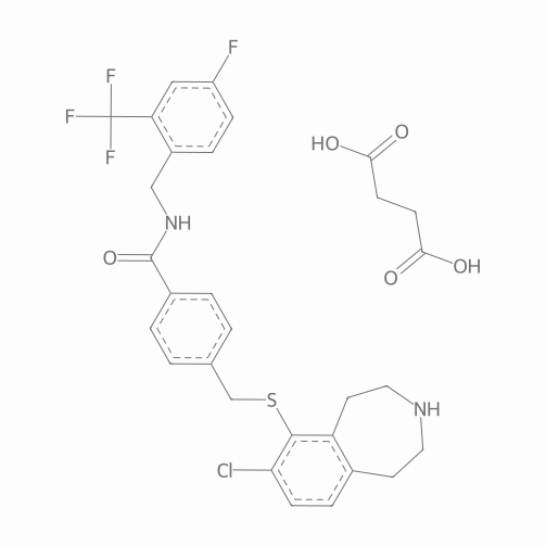 O=C(NCc1ccc(F)cc1C(F)(F)F)c1ccc(CSc2c(Cl)ccc3c2CCNCC3)cc1.O=C(O)CCC(=O)O